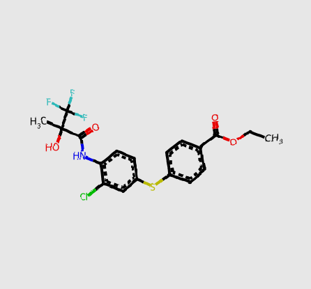 CCOC(=O)c1ccc(Sc2ccc(NC(=O)C(C)(O)C(F)(F)F)c(Cl)c2)cc1